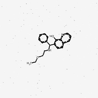 CCOCCNC(c1ccccc1)c1ccc2cccnc2c1O